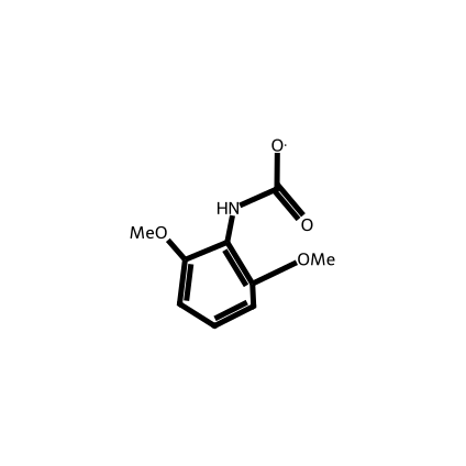 COc1cccc(OC)c1NC([O])=O